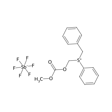 COC(=O)OC[S+](Cc1ccccc1)c1ccccc1.[F][Sb-]([F])([F])([F])([F])[F]